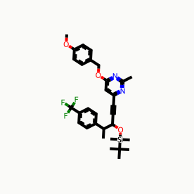 COc1ccc(COc2cc(C#CC(O[Si](C)(C)C(C)(C)C)C(C)c3ccc(C(F)(F)F)cc3)nc(C)n2)cc1